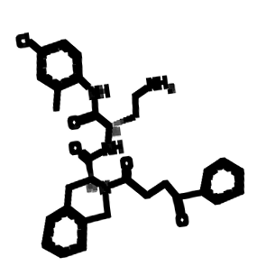 Cc1cc(Cl)ccc1NC(=O)[C@H](CCN)NC(=O)[C@@H]1Cc2ccccc2CN1C(=O)CCC(=O)c1ccccc1